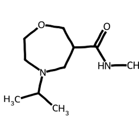 CNC(=O)C1COCCN(C(C)C)C1